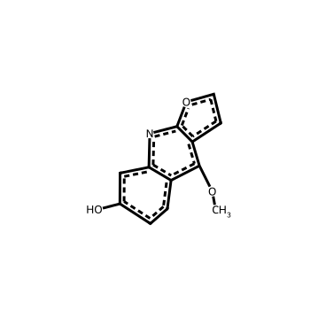 COc1c2ccc(O)cc2nc2occc12